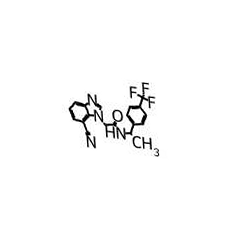 CC(NC(=O)Cn1cnc2cccc(C#N)c21)c1ccc(C(F)(F)F)cc1